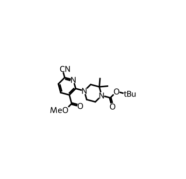 COC(=O)c1ccc(C#N)nc1N1CCN(C(=O)OC(C)(C)C)C(C)(C)C1